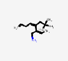 C=CC/C=C(CC(C)(C)C)\C(=C/C)CN